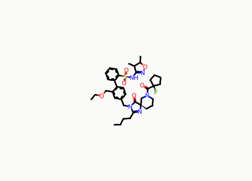 CCCCC1=N[C@]2(CCCN(C(=O)C3(F)CCCC3)C2)C(=O)N1Cc1ccc(-c2ccccc2S(=O)(=O)NC2=NOC(C)C2C)c(COCC)c1